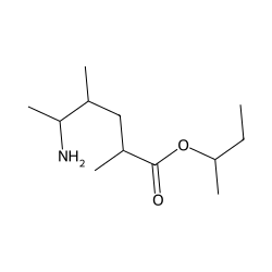 CCC(C)OC(=O)C(C)CC(C)C(C)N